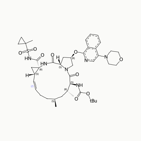 C[C@H]1CC/C=C\[C@@H]2C[C@@]2(C(=O)NS(=O)(=O)C2(C)CC2)NC(=O)[C@@H]2C[C@@H](Oc3ncc(N4CCOCC4)c4ccccc34)CN2C(=O)[C@@H](NC(=O)OC(C)(C)C)[C@H](C)C1